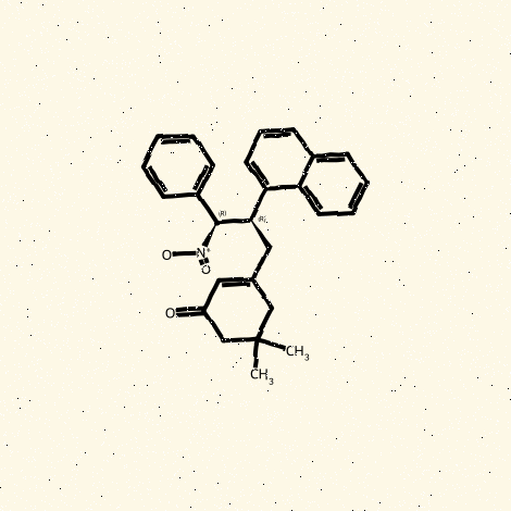 CC1(C)CC(=O)C=C(C[C@H](c2cccc3ccccc23)[C@H](c2ccccc2)[N+](=O)[O-])C1